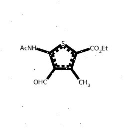 CCOC(=O)c1sc(NC(C)=O)c(C=O)c1C